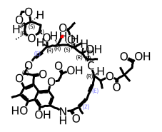 CC(=O)O[C@H]1[C@H](C)[C@H](O)[C@H](C)C[C@@H](C(C)OC(=O)C(C)(C)CC(=O)O)/C=C/C=C(/C)C(=O)Nc2cc(OCC(=O)O)c3c4c(c(C)c(O)c3c2O)O[C@](C)(O/C=C/[C@H](O[C@H]2C[C@@H]3OCO[C@@H]3[C@@H](C)O2)[C@H]1C)C4=O